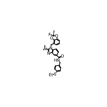 CCSc1ccc(CNC(=O)c2ccc3c(c2)nc(N(C)C)n3Cc2cccc3c2OC(F)(F)O3)cc1